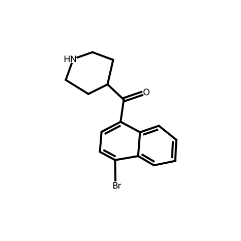 O=C(c1ccc(Br)c2ccccc12)C1CCNCC1